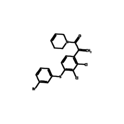 C=C(C(=O)N1CC=CCC1)c1ccc(Sc2cccc(Br)c2)c(Cl)c1Cl